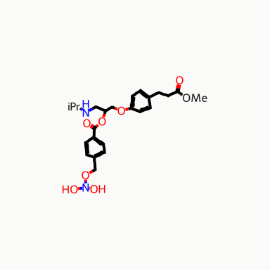 COC(=O)CCc1ccc(OCC(CNC(C)C)OC(=O)c2ccc(CON(O)O)cc2)cc1